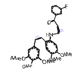 COc1cc(/C=C\c2cc(OC)c(OC)c(OC)c2)c(N/C=C\C(=O)c2cccc(F)c2)cc1OC